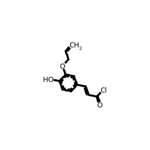 C=CCOc1cc(/C=C/C(=O)Cl)ccc1O